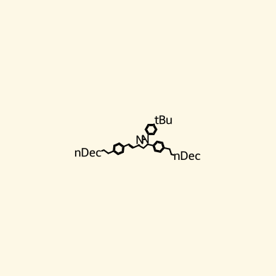 CCCCCCCCCCCCc1ccc(C=CC2=NN(c3ccc(C(C)(C)C)cc3)C(c3ccc(CCCCCCCCCCCC)cc3)C2)cc1